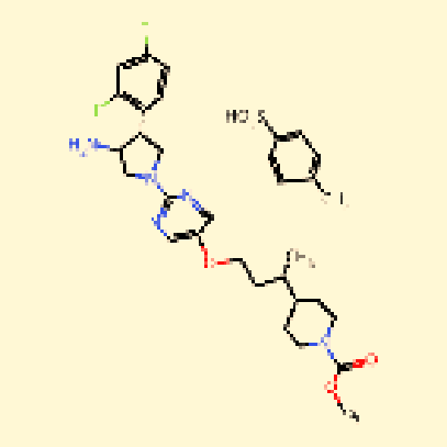 CC(C)OC(=O)N1CCC([C@H](C)CCOc2cnc(N3C[C@@H](N)[C@H](c4ccc(F)cc4F)C3)nc2)CC1.Cc1ccc(S(=O)(=O)O)cc1